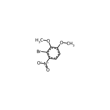 COc1ccc([N+](=O)[O-])c(Br)c1OC